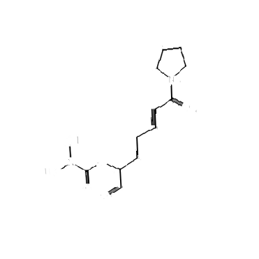 CN(C)C(=O)OC(C=O)CCC=CC(=O)N1CCCC1